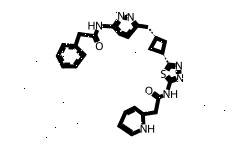 O=C(Cc1ccccc1)Nc1ccc(C[C@H]2C[C@@H](c3nnc(NC(=O)CC4C=CC=CN4)s3)C2)nn1